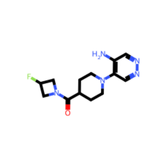 Nc1cnncc1N1CCC(C(=O)N2CC(F)C2)CC1